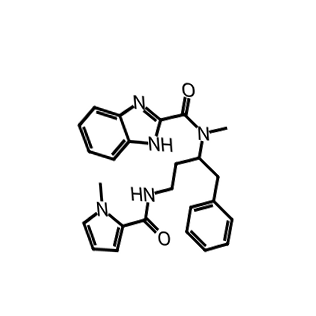 CN(C(=O)c1nc2ccccc2[nH]1)C(CCNC(=O)c1cccn1C)Cc1ccccc1